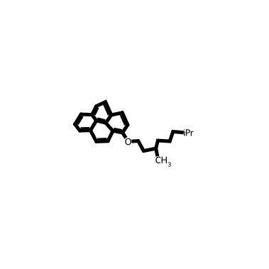 CC(C)CCCC(C)CCOc1ccc2ccc3cccc4ccc1c2c34